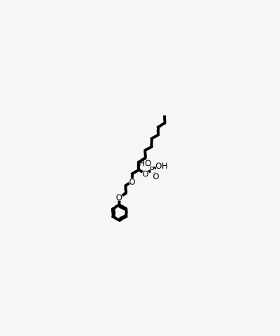 CCCCCCCCCC(COCCOc1ccccc1)OP(=O)(O)O